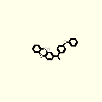 CC(c1ccc(Oc2ccccc2)cc1)c1ccc2c(c1)Nc1ccccc1S2